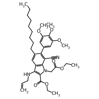 C=CCNc1c(C(=O)OCC)n(CC(=O)OCC)c2c(C#N)c(-c3cc(OC)c(OC)c(OC)c3)c(CCCCCCCCC)cc12